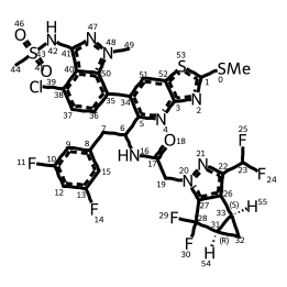 CSc1nc2nc(C(Cc3cc(F)cc(F)c3)NC(=O)Cn3nc(C(F)F)c4c3C(F)(F)[C@@H]3C[C@H]43)c(-c3ccc(Cl)c4c(NS(C)(=O)=O)nn(C)c34)cc2s1